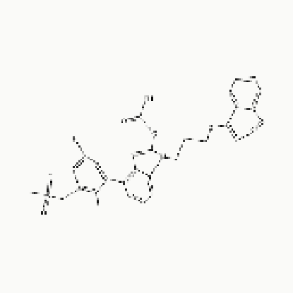 Cc1c(CS(C)(=O)=O)cc(F)cc1-c1cccc2c1cc(OC(=O)O)n2CCCOc1cccc2ccccc12